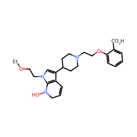 CCOCCn1cc(C2CCN(CCOc3ccccc3C(=O)O)CC2)c2c1N(O)CC=C2